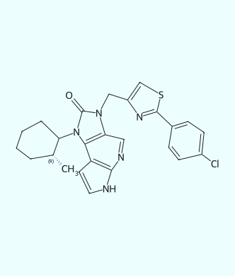 C[C@@H]1CCCCC1n1c(=O)n(Cc2csc(-c3ccc(Cl)cc3)n2)c2cnc3[nH]ccc3c21